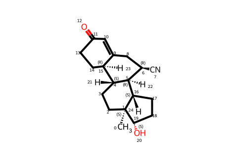 C[C@]12CC[C@H]3[C@@H]([C@H](C#N)CC4=CC(=O)CC[C@@H]43)[C@@H]1CC[C@@H]2O